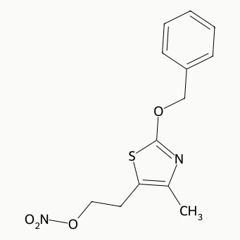 Cc1nc(OCc2ccccc2)sc1CCO[N+](=O)[O-]